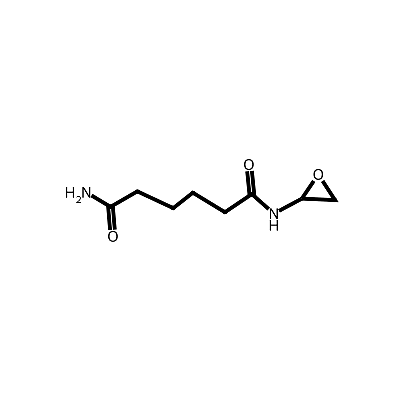 NC(=O)CCCCC(=O)NC1CO1